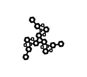 c1ccc(-c2ccc3c(c2)Oc2cccc4c2B3c2ccc3c(c2O4)c2ccc4c(c2c2ccc5c(c32)Oc2cccc3c2B5c2ccc(-c5ccccc5)cc2O3)Oc2cccc3c2B4c2ccc(-c4ccccc4)cc2O3)cc1